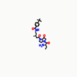 CCC(N)C(=O)N1CC(=O)C2C1CCN2C(=O)CC(C)CCNC(=O)c1ccc(C(C)(C)C)cc1